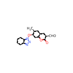 Cc1cc2cc(C=O)c(=O)oc2cc1On1nnc2ccccc21